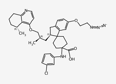 C[C@@H](COc1ccnc2c1[C@H](C)CCC2)C[C@H]1Cc2ccc(OCCN=[N+]=[N-])cc2C12CCC(Nc1cccc(Cl)c1)(C(=O)O)CC2